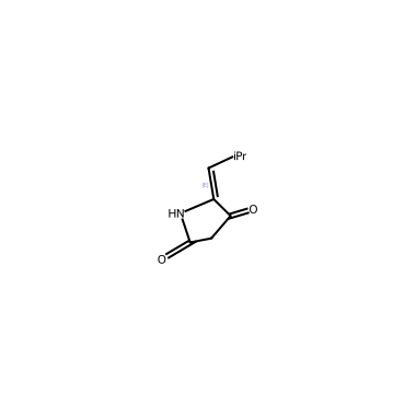 CC(C)/C=C1/NC(=O)CC1=O